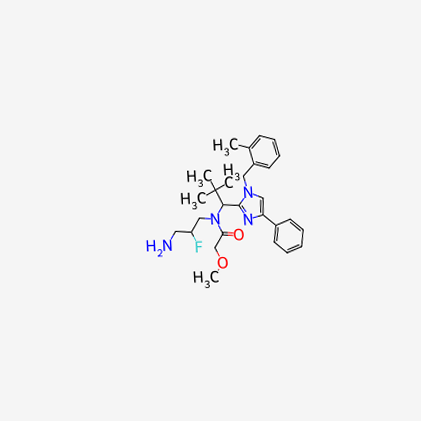 COCC(=O)N(CC(F)CN)C(c1nc(-c2ccccc2)cn1Cc1ccccc1C)C(C)(C)C